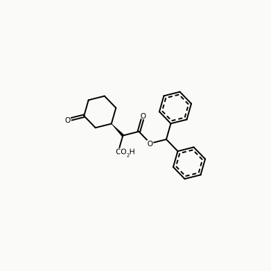 O=C1CCC[C@@H](C(C(=O)O)C(=O)OC(c2ccccc2)c2ccccc2)C1